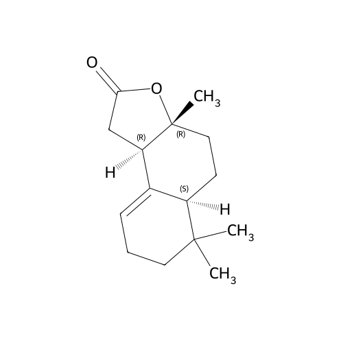 CC1(C)CCC=C2[C@H]1CC[C@@]1(C)OC(=O)C[C@H]21